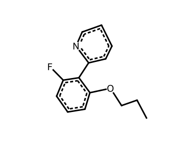 CCCOc1cccc(F)c1-c1ccccn1